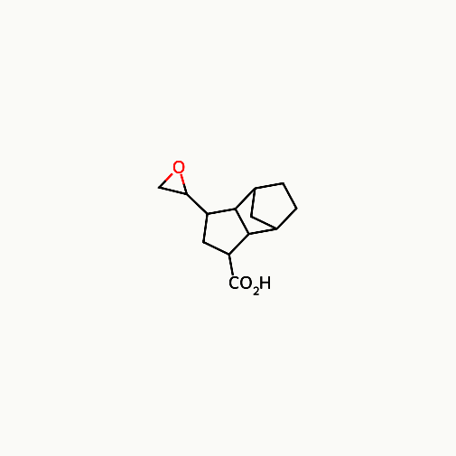 O=C(O)C1CC(C2CO2)C2C3CCC(C3)C12